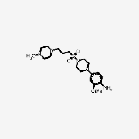 COc1cc(N2CCN(S(=O)(=O)CCCN3CCN(C)CC3)CC2)ccc1N